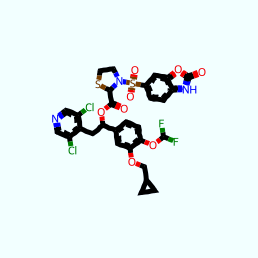 O=C(OC(Cc1c(Cl)cncc1Cl)c1ccc(OC(F)F)c(OCC2CC2)c1)C1SCCN1S(=O)(=O)c1ccc2[nH]c(=O)oc2c1